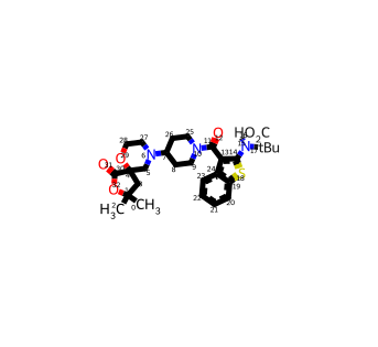 CC1(C)CC2(CN(C3CCN(C(=O)c4c(N(C(=O)O)C(C)(C)C)sc5ccccc45)CC3)CCO2)C(=O)O1